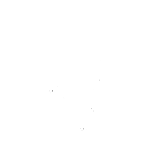 COCN1C(C)=C(C(=O)OC)C(c2ccccc2C(F)(F)F)C(C(=O)OCc2ccccc2)=C1C